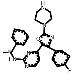 C[C@H](Nc1nccc(-c2oc(N3CCNCC3)nc2-c2ccc(F)cc2)n1)c1ccccc1